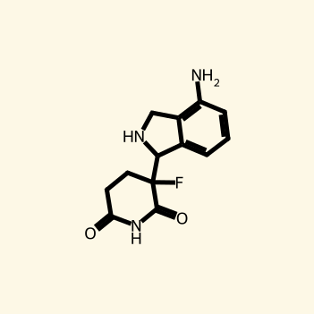 Nc1cccc2c1CNC2C1(F)CCC(=O)NC1=O